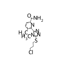 Cc1ccc(C(N)=O)nc1-c1nnc(SCCCCl)n1C